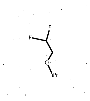 CC(C)OCC(F)F